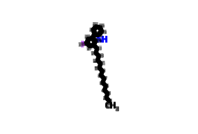 CCCCCCCCCCCCCCCCc1cc(I)cc2c1[nH]c1ccccc12